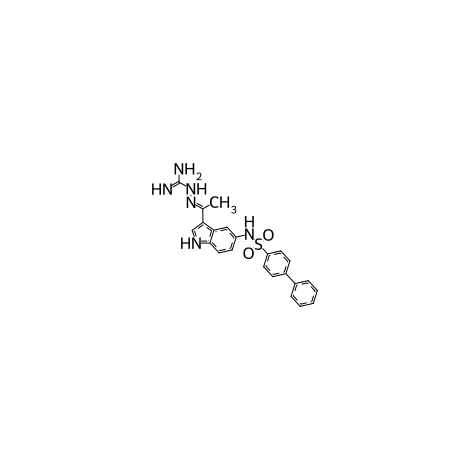 C/C(=N\NC(=N)N)c1c[nH]c2ccc(NS(=O)(=O)c3ccc(-c4ccccc4)cc3)cc12